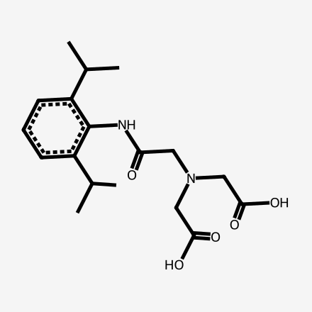 CC(C)c1cccc(C(C)C)c1NC(=O)CN(CC(=O)O)CC(=O)O